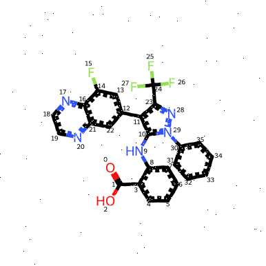 O=C(O)c1ccccc1Nc1c(-c2cc(F)c3nccnc3c2)c(C(F)(F)F)nn1-c1ccccc1